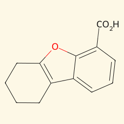 O=C(O)c1cccc2c3c(oc12)CCCC3